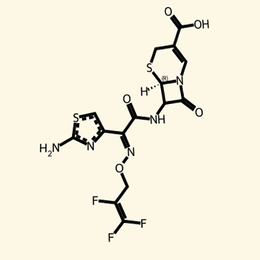 Nc1nc(C(=NOCC(F)=C(F)F)C(=O)NC2C(=O)N3C=C(C(=O)O)CS[C@H]23)cs1